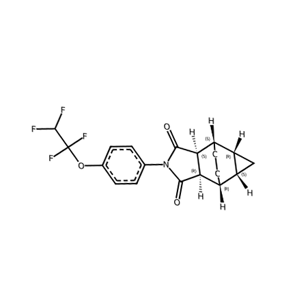 O=C1[C@@H]2[C@@H]3CC[C@@H]([C@@H]4C[C@@H]43)[C@@H]2C(=O)N1c1ccc(OC(F)(F)C(F)F)cc1